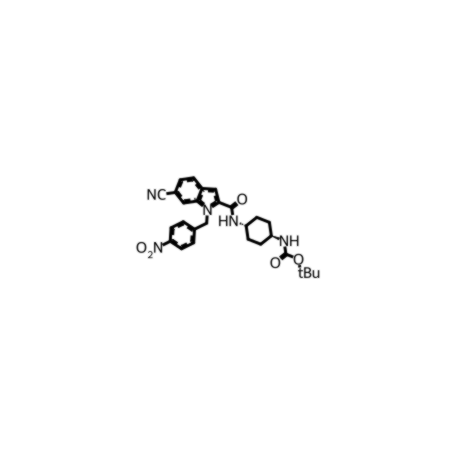 CC(C)(C)OC(=O)N[C@H]1CC[C@H](NC(=O)c2cc3ccc(C#N)cc3n2Cc2ccc([N+](=O)[O-])cc2)CC1